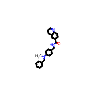 CN(Cc1ccccc1)c1ccc(CNC(=O)c2ccc3ncccc3c2)cc1